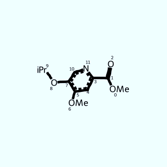 COC(=O)c1cc(OC)c(OC(C)C)cn1